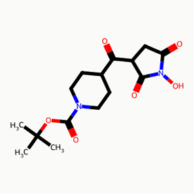 CC(C)(C)OC(=O)N1CCC(C(=O)C2CC(=O)N(O)C2=O)CC1